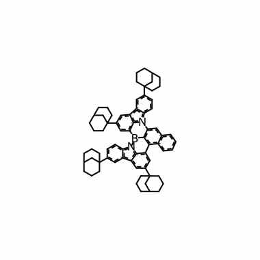 c1ccc2c3c4c(cc2c1)-n1c2ccc(C56CCCC(CCC5)C6)cc2c2cc(C56CCCC(CCC5)C6)cc(c21)B4n1c2ccc(C45CCCC(CCC4)C5)cc2c2cc(C45CCCC(CCC4)C5)cc-3c21